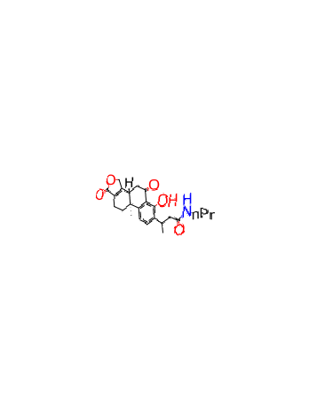 CCCNC(=O)CC(C)c1ccc2c(c1O)C(=O)C[C@H]1C3=C(CC[C@]21C)C(=O)OC3